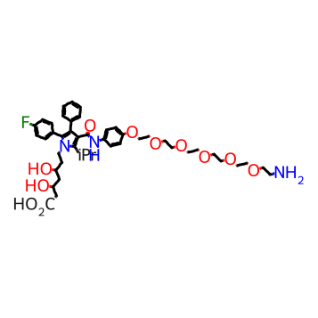 CC(C)c1c(C(=O)Nc2ccc(OCCOCCOCCOCCOCCOCCN)cc2)c(-c2ccccc2)c(-c2ccc(F)cc2)n1CCC(O)CC(O)CC(=O)O